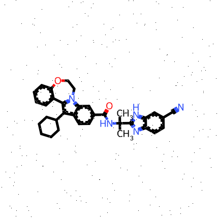 CC(C)(NC(=O)c1ccc2c(C3CCCCC3)c3n(c2c1)CCOc1ccccc1-3)c1nc2ccc(C#N)cc2[nH]1